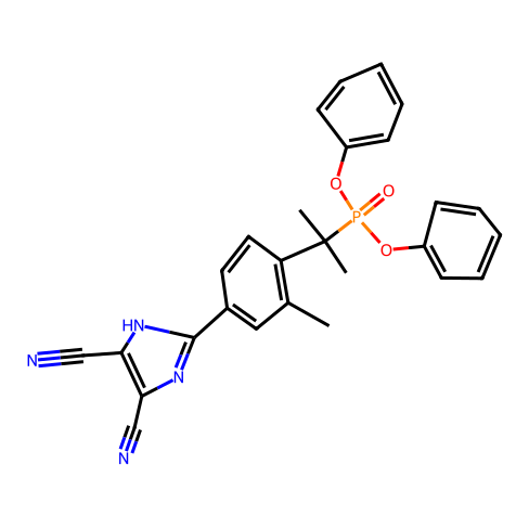 Cc1cc(-c2nc(C#N)c(C#N)[nH]2)ccc1C(C)(C)P(=O)(Oc1ccccc1)Oc1ccccc1